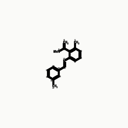 C=C(NC)c1c(C)cccc1/N=C/c1cccc(C)c1